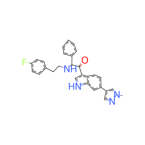 Cn1cc(-c2ccc3c(C(=O)[C@@H](NCCc4ccc(F)cc4)c4ccccc4)c[nH]c3c2)cn1